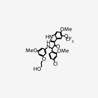 COc1cc(NC(C(=O)c2c[nH]c3cc(OC)c(OC(F)(F)F)cc23)c2ccc(Cl)cc2OC)cc(OCCO)c1